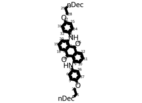 CCCCCCCCCCCCOc1ccc(Nc2cccc3c2C(=O)c2cccc(Nc4ccc(OCCCCCCCCCCCC)cc4)c2C3=O)cc1